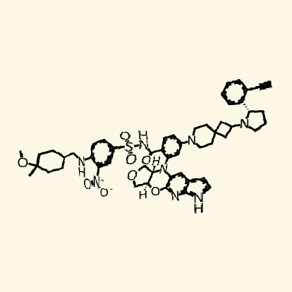 C#Cc1ccccc1[C@@H]1CCCN1C1CC2(CCN(c3ccc(C(=O)NS(=O)(=O)c4ccc(NCC5CCC(C)(OC)CC5)c([N+](=O)[O-])c4)c(N4c5cc6cc[nH]c6nc5O[C@H]5COC[C@@H]54)c3)CC2)C1